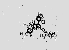 C[C@H]1CCN(c2nc3c(c(-c4ccc5ncsc5c4Cl)cn3COCC[Si](C)(C)C)c(=O)n2C)C[C@H]1F